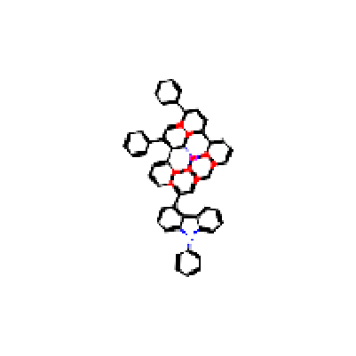 c1ccc(-c2ccc(-c3ccccc3N(c3ccc(-c4cccc5c4c4ccccc4n5-c4ccccc4)cc3)c3cccc(-c4ccccc4)c3-c3ccccc3-c3ccccc3)cc2)cc1